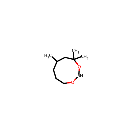 CC1CCCOBOC(C)(C)C1